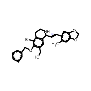 Cc1cc2c(cc1/C=C/C1NCCc3c1cc(CO)c(OCc1ccccc1)c3Br)OCO2